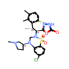 Cc1ccc(F)c([C@@H](C)[C@@H](c2n[nH]c(=O)o2)N2CN([C@H]3CCN(C)C3)c3cc(Cl)ccc3S2(=O)=O)c1C